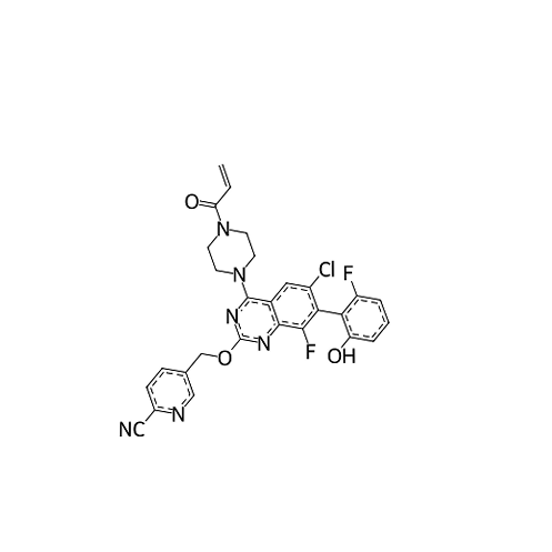 C=CC(=O)N1CCN(c2nc(OCc3ccc(C#N)nc3)nc3c(F)c(-c4c(O)cccc4F)c(Cl)cc23)CC1